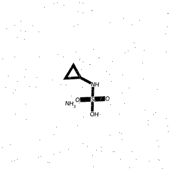 N.O=S(=O)(O)NC1CC1